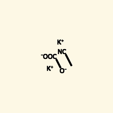 CC#N.O=C([O-])[O-].[K+].[K+]